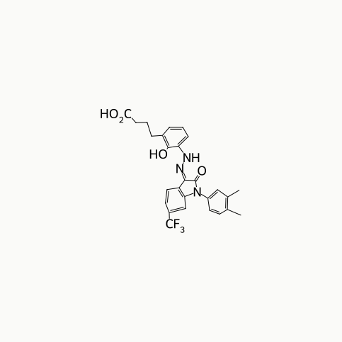 Cc1ccc(N2C(=O)C(=NNc3cccc(CCCC(=O)O)c3O)c3ccc(C(F)(F)F)cc32)cc1C